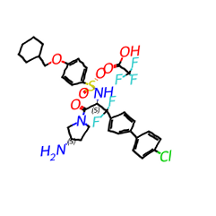 N[C@H]1CCN(C(=O)[C@H](NS(=O)(=O)c2ccc(OCC3CCCCC3)cc2)C(F)(F)c2ccc(-c3ccc(Cl)cc3)cc2)C1.O=C(O)C(F)(F)F